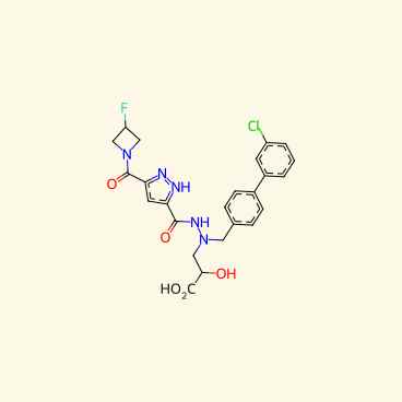 O=C(NN(Cc1ccc(-c2cccc(Cl)c2)cc1)CC(O)C(=O)O)c1cc(C(=O)N2CC(F)C2)n[nH]1